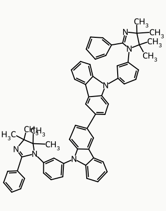 CC1(C)N=C(c2ccccc2)N(c2cccc(-n3c4ccccc4c4cc(-c5ccc6c(c5)c5ccccc5n6-c5cccc(N6C(c7ccccc7)=NC(C)(C)C6(C)C)c5)ccc43)c2)C1(C)C